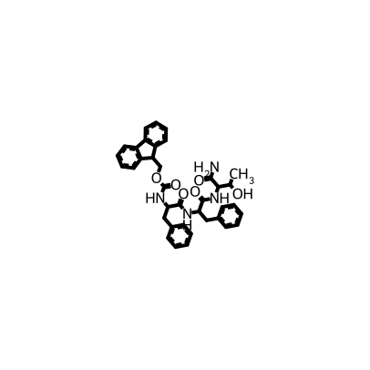 CC(O)C(NC(=O)C(Cc1ccccc1)NC(=O)C(Cc1ccccc1)NC(=O)OCC1c2ccccc2-c2ccccc21)C(N)=O